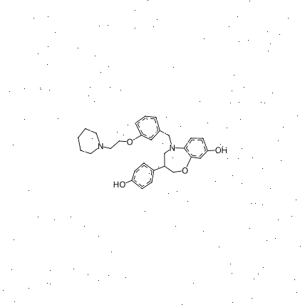 Oc1ccc(C2COc3cc(O)ccc3N(Cc3cccc(OCCN4CCCCC4)c3)C2)cc1